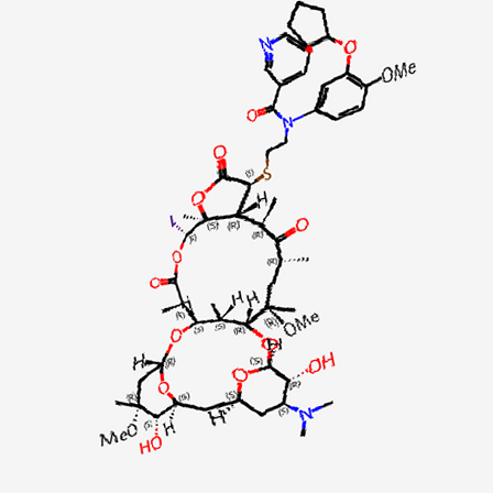 COc1ccc(N(CCS[C@@H]2C(=O)O[C@@]3(C)[C@H]2[C@@H](C)C(=O)[C@H](C)C[C@@](C)(OC)[C@@H]2O[C@@H]4O[C@H](C[C@@H]5O[C@H](C[C@@](C)(OC)[C@H]5O)O[C@@H]([C@@H]2C)[C@@H](C)C(=O)O[C@@H]3I)C[C@H](N(C)C)[C@H]4O)C(=O)c2cccnc2)cc1OC1CCCC1